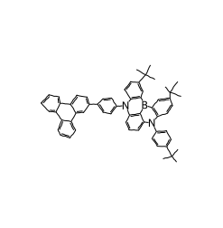 CC(C)(C)c1ccc(N2c3ccc(C(C)(C)C)cc3B3c4cc(C(C)(C)C)ccc4N(c4ccc(-c5ccc6c7ccccc7c7ccccc7c6c5)cc4)c4cccc2c43)cc1